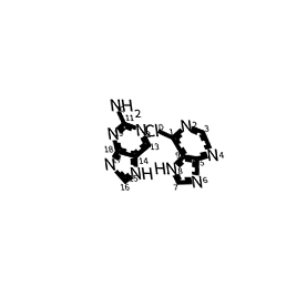 Clc1ncnc2nc[nH]c12.Nc1ncc2[nH]cnc2n1